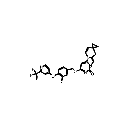 O=c1nc(OCc2ccc(Oc3ccnc(C(F)(F)F)c3)c(F)c2)cc2n3c(cn12)CC1(C=C3)CC1